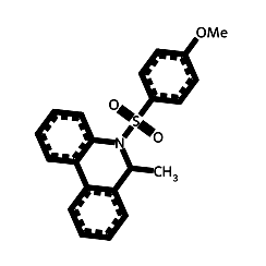 COc1ccc(S(=O)(=O)N2c3ccccc3-c3ccccc3C2C)cc1